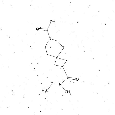 CON(C)C(=O)C1CC2(CCN(C(=O)O)CC2)C1